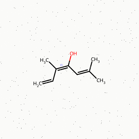 C=C/C(C)=C(/O)C=C(C)C